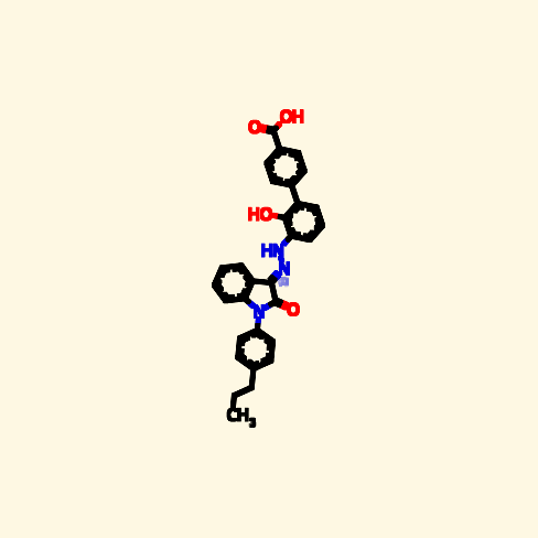 CCCc1ccc(N2C(=O)/C(=N/Nc3cccc(-c4ccc(C(=O)O)cc4)c3O)c3ccccc32)cc1